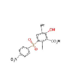 Cc1c(S(=O)(=O)c2ccc([N+](=O)[O-])cc2)cc(C(C)C)c(O)c1C(=O)O